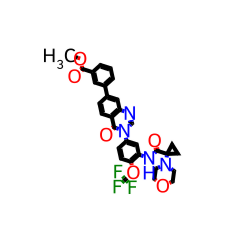 COC(=O)c1cccc(-c2ccc3c(=O)n(-c4ccc(OC(F)(F)F)c(NC(=O)C5(N6CCOCC6)CC5)c4)cnc3c2)c1